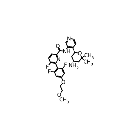 COCCOc1cc(F)c(-c2nc(C(=O)Nc3cnccc3[C@@H]3C[C@@H](N)CC(C)(C)O3)ccc2F)c(F)c1